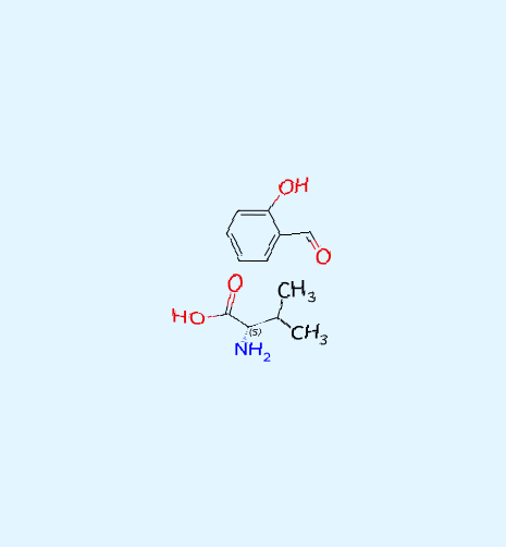 CC(C)[C@H](N)C(=O)O.O=Cc1ccccc1O